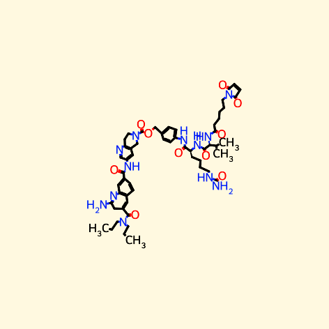 CCCN(CCC)C(=O)C1=Cc2ccc(C(=O)Nc3cnc4c(c3)CN(C(=O)OCc3ccc(NC(=O)[C@H](CCCCNC(N)=O)NC(=O)[C@@H](NC(=O)CCCCCN5C(=O)C=CC5=O)C(C)C)cc3)CC4)cc2N=C(N)C1